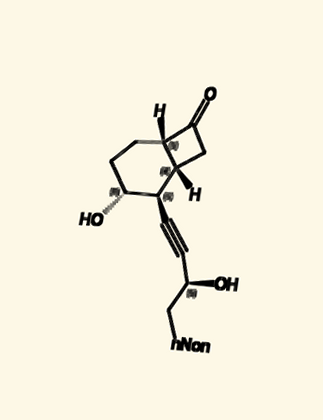 CCCCCCCCCC[C@H](O)C#C[C@@H]1[C@H]2CC(=O)[C@H]2CC[C@H]1O